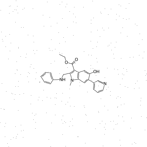 CCOC(=O)c1c(CNc2ccccc2)n(C)c2cc(-c3cccnc3)c(O)cc12